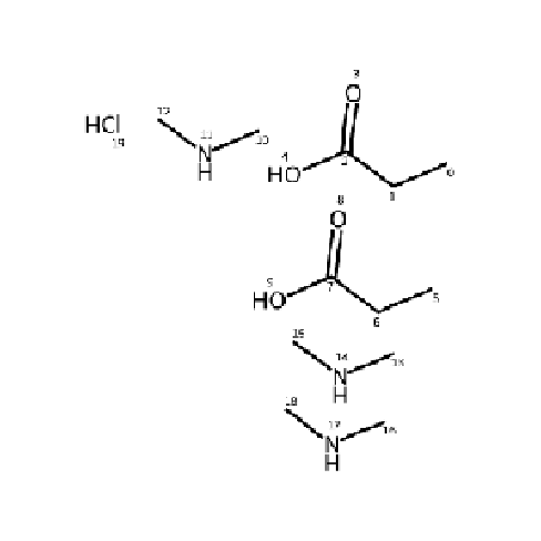 CCC(=O)O.CCC(=O)O.CNC.CNC.CNC.Cl